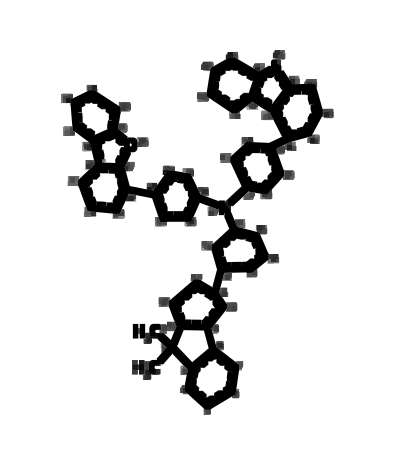 CC1(C)c2ccccc2-c2cc(-c3cccc(N(c4ccc(-c5cccc6c5oc5ccccc56)cc4)c4ccc(-c5cccc6sc7ccccc7c56)cc4)c3)ccc21